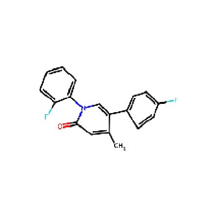 Cc1cc(=O)n(-c2ccccc2F)cc1-c1ccc(F)cc1